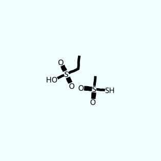 CCS(=O)(=O)O.CS(=O)(=O)S